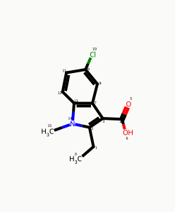 CCc1c(C(=O)O)c2cc(Cl)ccc2n1C